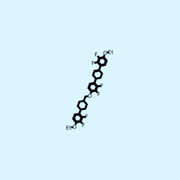 CCOc1ccc(C2=CCC(c3ccc(OCC4CCC(c5ccc(OCC)c(F)c5F)CC4)c(F)c3F)CC2)c(F)c1F